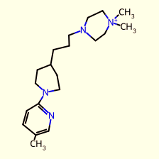 Cc1ccc(N2CCC(CCCN3CC[N+](C)(C)CC3)CC2)nc1